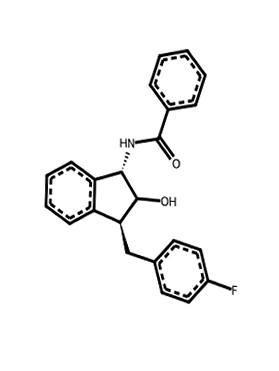 O=C(N[C@H]1c2ccccc2[C@H](Cc2ccc(F)cc2)C1O)c1ccccc1